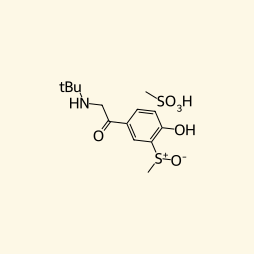 CS(=O)(=O)O.C[S+]([O-])c1cc(C(=O)CNC(C)(C)C)ccc1O